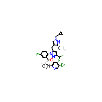 Cc1nn(CC2CC2)cc1Cc1cc(C(F)F)nn1-c1ccc(F)cc1C(C)Oc1cc(Br)cnc1[N+](=O)[O-]